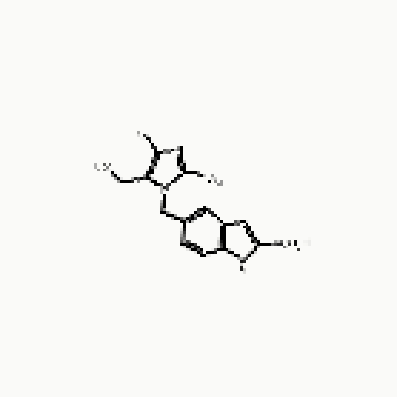 CCCCc1nc(Cl)c(CO)n1Cc1ccc2[nH]c(C(=O)O)cc2c1